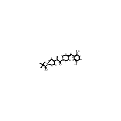 CC(C)(C)C(=O)N1CCC(NC(=O)N2CCC(=Cc3cc(F)ccc3F)CC2)CC1